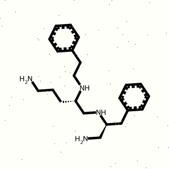 NCCC[C@@H](CN[C@H](CN)Cc1ccccc1)NCCc1ccccc1